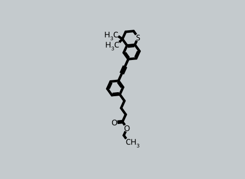 CCOC(=O)CCCc1cccc(C#Cc2ccc3c(c2)C(C)(C)CCS3)c1